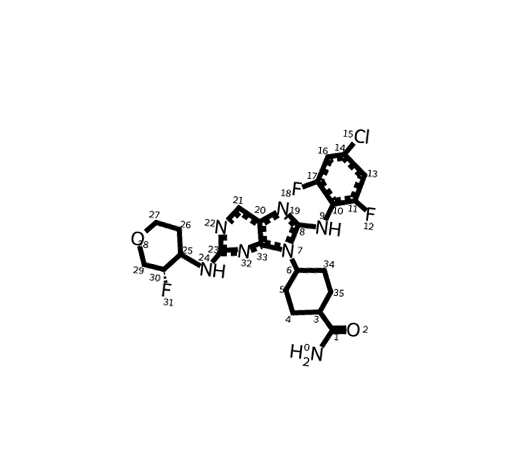 NC(=O)C1CCC(n2c(Nc3c(F)cc(Cl)cc3F)nc3cnc(NC4CCOC[C@H]4F)nc32)CC1